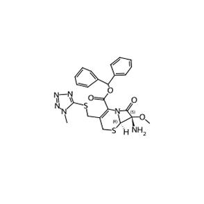 CO[C@@]1(N)C(=O)N2C(C(=O)OC(c3ccccc3)c3ccccc3)=C(CSc3nnnn3C)CS[C@@H]21